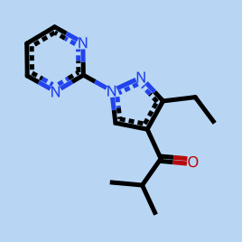 CCc1nn(-c2ncccn2)cc1C(=O)C(C)C